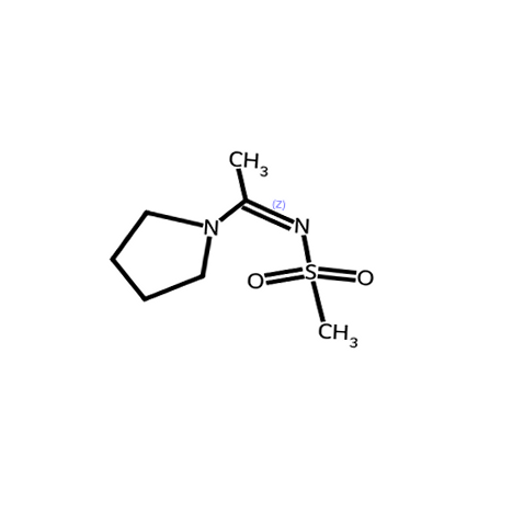 C/C(=N/S(C)(=O)=O)N1CCCC1